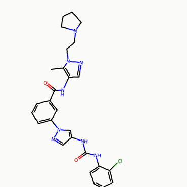 Cc1c(NC(=O)c2cccc(-n3cc(NC(=O)Nc4ccccc4Cl)cn3)c2)cnn1CCN1CCCC1